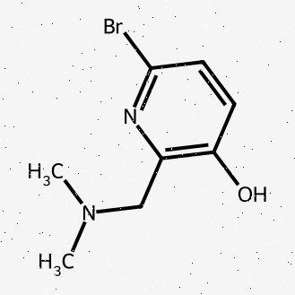 CN(C)Cc1nc(Br)ccc1O